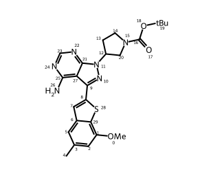 COc1cc(C)cc2cc(-c3nn(C4CCN(C(=O)OC(C)(C)C)C4)c4ncnc(N)c34)sc12